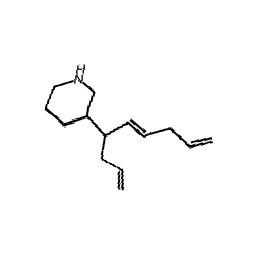 C=CCC=CC(CC=C)C1CCCNC1